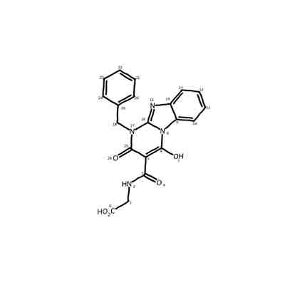 O=C(O)CNC(=O)c1c(O)n2c3ccccc3nc2n(Cc2ccccc2)c1=O